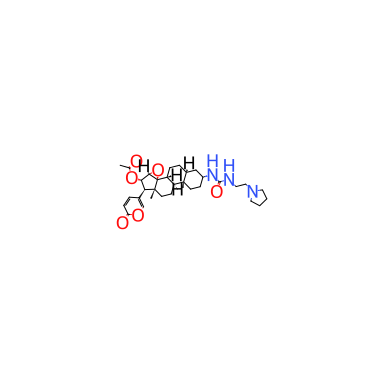 CC(=O)O[C@H]1[C@H]2O[C@]23[C@@H]2CC[C@@H]4C[C@@H](NC(=O)NCCN5CCCC5)CC[C@]4(C)[C@H]2CC[C@]3(C)[C@H]1c1ccc(=O)oc1